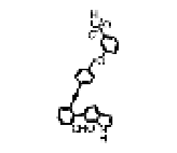 CS(=O)(=O)c1cccc(OCc2ccc(C#Cc3cccc(C=O)c3-c3ccc4cc[nH]c4c3)cc2)c1